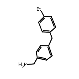 CCc1ccc(Cc2ccc(CP)cc2)cc1